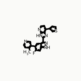 Cc1ccncc1-c1cc2c(-c3nc4c(-c5ccsc5)ccnc4[nH]3)n[nH]c2cc1F